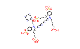 CC1(CCCCS(=O)(=O)O)C(/C=C/C=C/C=C/C=C2/N(CCCCCC(=O)O)c3ccc(S(=O)(=O)O)cc3C2(C)CCCCS(=O)(=O)O)=[N+](CCCC2=C/C=C\C=C/C=C\2)c2ccc(S(=O)(=O)O)cc21